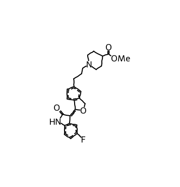 COC(=O)C1CCN(CCCc2ccc3c(c2)CO/C3=C2/C(=O)Nc3ccc(F)cc32)CC1